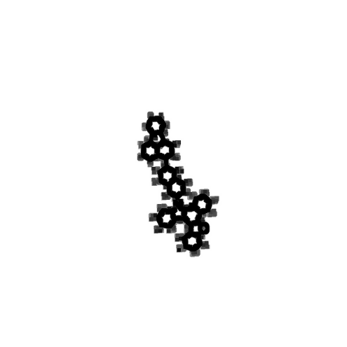 c1ccc2c(c1)-c1cccc3c(-c4ccc5cc(-n6c7ccccc7c7c8c9ccccc9oc8c8ccccc8c76)ccc5c4)ccc-2c13